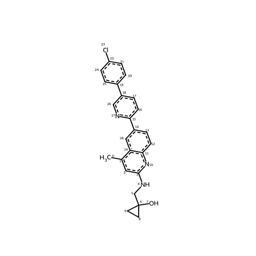 Cc1cc(NCC2(O)CC2)nc2ccc(-c3ccc(-c4ccc(Cl)cc4)cn3)cc12